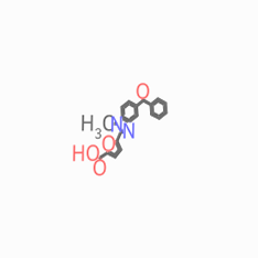 Cn1c(-c2ccc(C(=O)O)o2)nc2cc(C(=O)c3ccccc3)ccc21